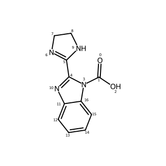 O=C(O)n1c(C2=NCCN2)nc2ccccc21